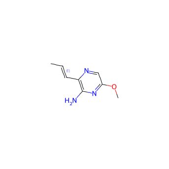 C/C=C/c1ncc(OC)nc1N